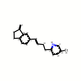 C=C1CCc2ccc(/C=C/CCc3ccc(CC)cn3)cc21